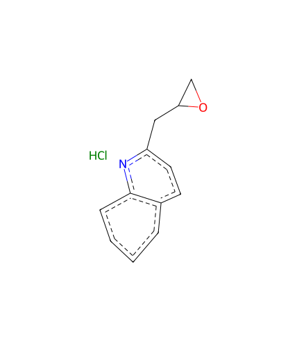 Cl.c1ccc2nc(CC3CO3)ccc2c1